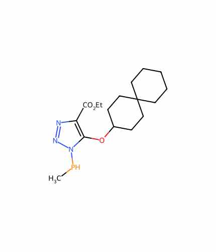 CCOC(=O)c1nnn(PC)c1OC1CCC2(CCCCC2)CC1